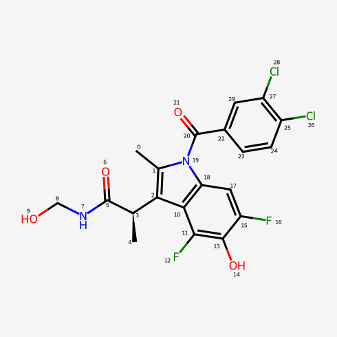 Cc1c([C@@H](C)C(=O)NCO)c2c(F)c(O)c(F)cc2n1C(=O)c1ccc(Cl)c(Cl)c1